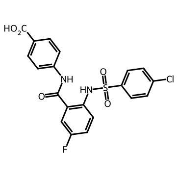 O=C(O)c1ccc(NC(=O)c2cc(F)ccc2NS(=O)(=O)c2ccc(Cl)cc2)cc1